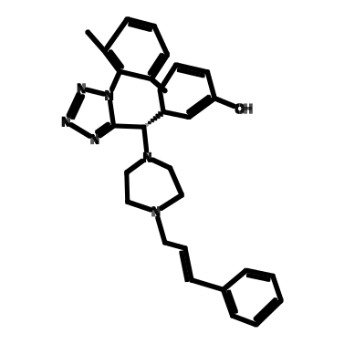 Cc1cccc(C)c1-n1nnnc1[C@H](C1C=C(O)C=CC1)N1CCN(C/C=C/c2ccccc2)CC1